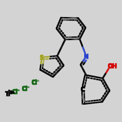 Oc1ccccc1C=Nc1ccccc1-c1cccs1.[Cl-].[Cl-].[Cl-].[Ti+3]